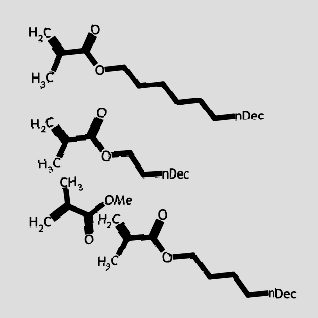 C=C(C)C(=O)OC.C=C(C)C(=O)OCCCCCCCCCCCC.C=C(C)C(=O)OCCCCCCCCCCCCCC.C=C(C)C(=O)OCCCCCCCCCCCCCCCC